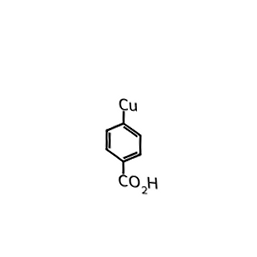 O=C(O)c1cc[c]([Cu])cc1